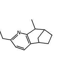 CCc1ccc2c(n1)C(C)C1CCC2C1